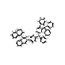 c1ccc(N(c2ccc3c(c2)C(c2ccccc2)(c2ccccc2)c2ccccc2-3)c2ccc3c(c2)oc2c(-c4cccc5ccccc45)c4ccccc4cc23)cc1